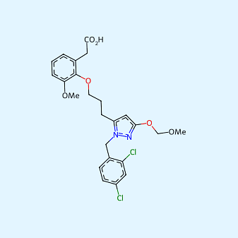 COCOc1cc(CCCOc2c(CC(=O)O)cccc2OC)n(Cc2ccc(Cl)cc2Cl)n1